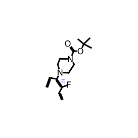 C=C/C(F)=C(\C=C)N1CCN(C(=O)OC(C)(C)C)CC1